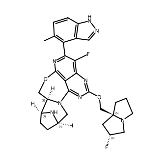 Cc1ccc2[nH]ncc2c1-c1nc2c3c(nc(OC[C@@]45CCCN4C[C@H](F)C5)nc3c1F)N1C[C@H]3CC[C@H](N3)[C@H]1CO2